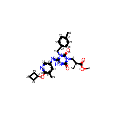 COC(=O)[C@@H](C)Cn1c(=O)[nH]/c(=N\c2cnc(OC3CCC3)c(C)c2)n(Cc2ccc(C)cc2)c1=O